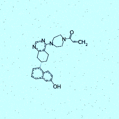 C=CC(=O)N1CCN(c2ncnc3c2CC[C@H](c2cccc4cc(O)ccc24)C3)CC1